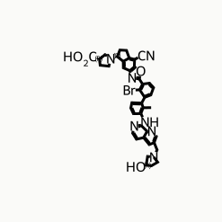 Cc1c(Nc2nccc3cc(CN4CC[C@@H](O)C4)cnc23)cccc1-c1cccc(-c2nc3cc4c(c(C#N)c3o2)CC[C@H]4N2CC[C@@H](C(=O)O)C2)c1Br